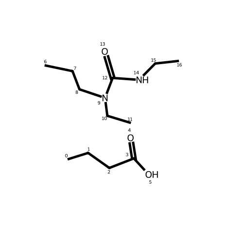 CCCC(=O)O.CCCN(CC)C(=O)NCC